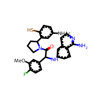 COc1cc(C(Nc2ccc3c(N)nccc3c2)C(=O)N2CCCC2c2cc(NC(C)=O)ccc2S)ccc1F